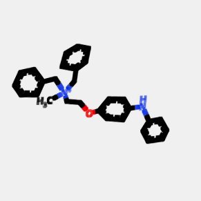 C[N+](CCOc1ccc(Nc2ccccc2)cc1)(Cc1ccccc1)Cc1ccccc1